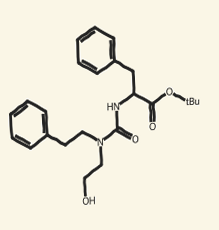 CC(C)(C)OC(=O)C(Cc1ccccc1)NC(=O)N(CCO)CCc1ccccc1